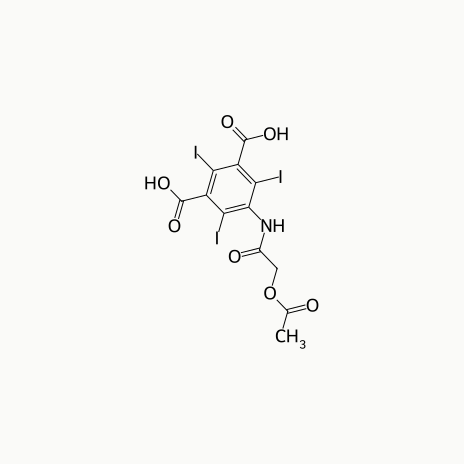 CC(=O)OCC(=O)Nc1c(I)c(C(=O)O)c(I)c(C(=O)O)c1I